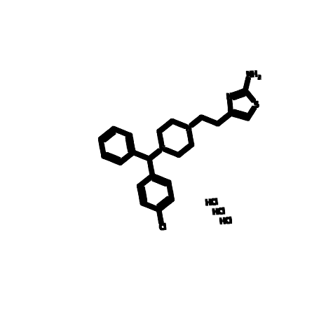 Cl.Cl.Cl.Nc1nc(CCN2CCN(C(c3ccccc3)c3ccc(Cl)cc3)CC2)cs1